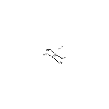 CC[CH2][Al+][CH2]CC.CC[CH2][Al+][CH2]CC.[Br-].[Cl-]